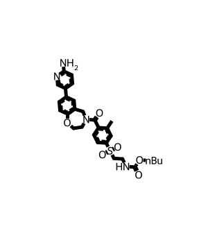 CCCCOC(=O)NCCS(=O)(=O)c1ccc(C(=O)N2CCOc3ccc(-c4ccc(N)nc4)cc3C2)c(C)c1